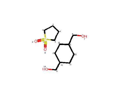 O=S1(=O)CCCC1.OCC1CCC(CO)CC1